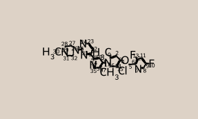 CC1=CC(OCc2ncc(F)cc2F)=C(Cl)CN1c1cc(-c2ccnc(N3CCN(C)CC3)n2)ncc1C